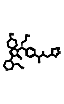 CC(C)CC1COCCN1C1=NC2(CCC(C(C)(C)C)CC2)N([C@H](CCC(C)(C)C)c2ccc(C(=O)NCc3nn[nH]n3)cc2)C1=O